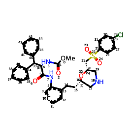 COC(=O)N[C@H](C(=O)Nc1ccccc1CC[C@H]1CNC[C@@H](CS(=O)(=O)c2ccc(Cl)cc2)O1)C(c1ccccc1)c1ccccc1